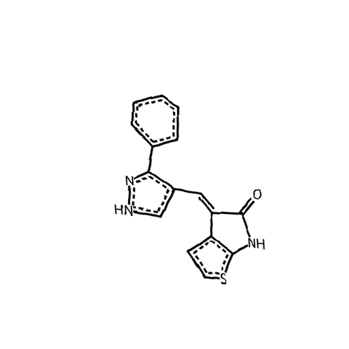 O=C1Nc2sccc2/C1=C\c1c[nH]nc1-c1ccccc1